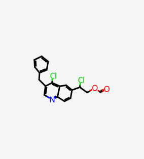 O=COCC(Cl)c1ccc2ncc(Cc3ccccc3)c(Cl)c2c1